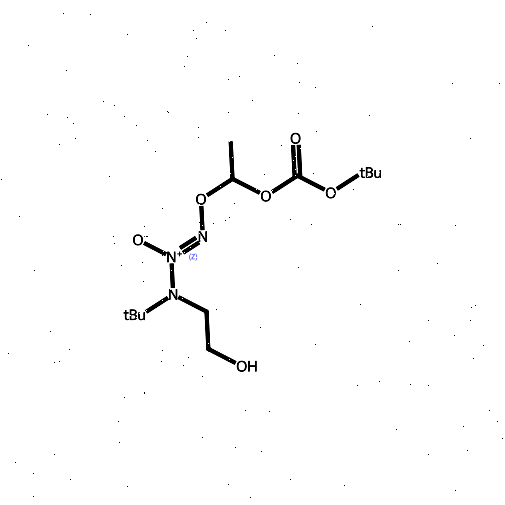 CC(O/N=[N+](\[O-])N(CCO)C(C)(C)C)OC(=O)OC(C)(C)C